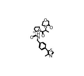 Cc1ncsc1-c1ccc(CNC(=O)[C@@H]2CCCN2C(=O)C(C)N2CCOCC2=O)cc1